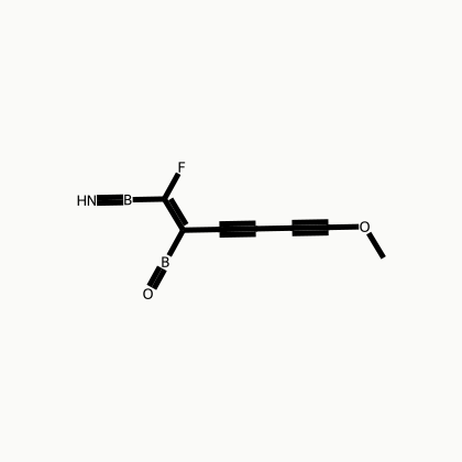 COC#CC#C/C(B=O)=C(\F)B=N